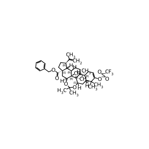 C=C(C)[C@@H]1CC[C@]2(C(=O)OCc3ccccc3)C[C@@H]3OC(C)(C)O[C@H]4C[C@H]5C(C)(C)C(OS(=O)(=O)C(F)(F)F)=CC[C@]5(C)[C@H]5CC[C@H]([C@@H]12)[C@]3(C)[C@]45C